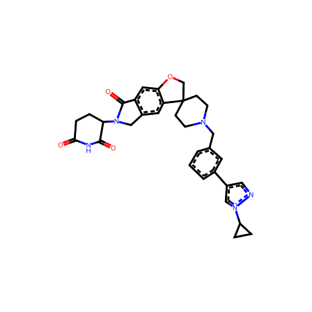 O=C1CCC(N2Cc3cc4c(cc3C2=O)OCC42CCN(Cc3cccc(-c4cnn(C5CC5)c4)c3)CC2)C(=O)N1